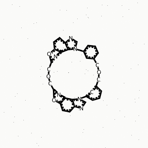 c1cc2cc(c1)-n1cnc3ccc4oc(nc4c31)COCc1nc3c(ccc4ncn(c43)-c3cccc(c3)COC2)o1